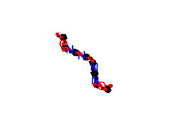 C=Cc1cccc(COc2cccc(N=Cc3ccc(C=Nc4ccc(Cc5ccc(N=Cc6ccc(C=Nc7cccc(OCc8cccc(C=C)c8)c7)cc6)cc5)cc4)cc3)c2)c1